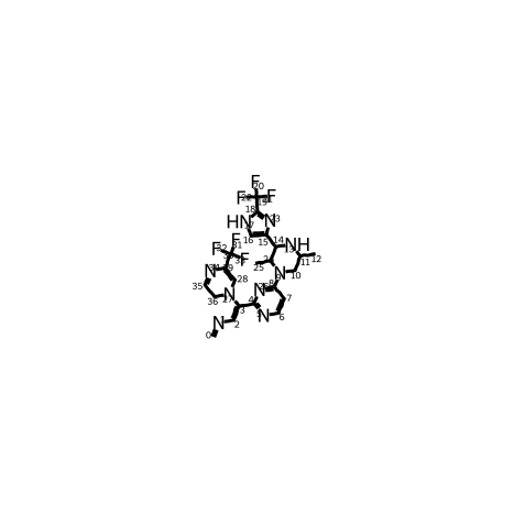 C=N/C=C(/c1nccc(N2CC(C)NC(c3c[nH]c(C(F)(F)F)n3)C2C)n1)N1C=C(C(F)(F)F)N=CC1